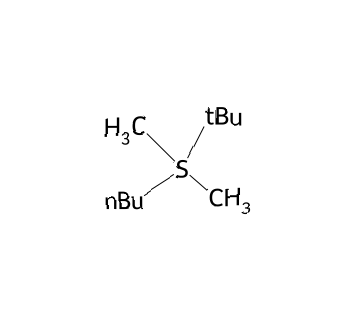 CCCCS(C)(C)C(C)(C)C